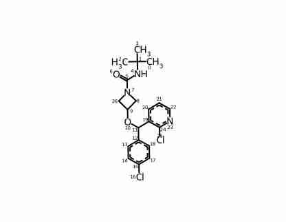 CC(C)(C)NC(=O)N1CC(OC(c2ccc(Cl)cc2)c2cccnc2Cl)C1